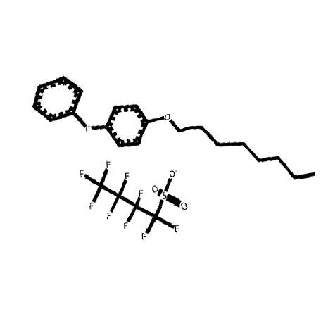 CCCCCCCCOc1ccc([I+]c2ccccc2)cc1.O=S(=O)([O-])C(F)(F)C(F)(F)C(F)(F)C(F)(F)F